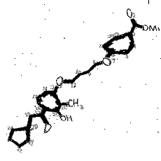 COC(=O)c1ccc(OCCCCOc2ccc(C(=O)CC3CCCC3)c(O)c2C)cc1